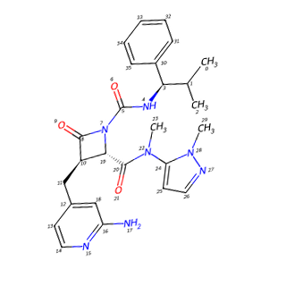 CC(C)[C@@H](NC(=O)N1C(=O)[C@H](Cc2ccnc(N)c2)[C@H]1C(=O)N(C)c1ccnn1C)c1ccccc1